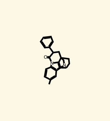 Cc1ccc2c(c1)c1c3n2C(=O)C(c2ccccc2)CC32CCC1N(C)C2